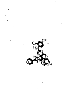 CC1CC2(CCN1)OCCc1c2c(=O)n2nc(C3=CCOCC3)nc2n1CC(=O)Nc1ccc(C(F)(F)F)cc1Cl